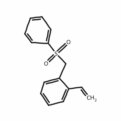 C=Cc1ccccc1CS(=O)(=O)c1ccccc1